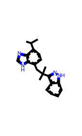 CC(C)c1ccc(CC(C)(C)c2n[nH]c3ccccc23)c2[nH]cnc12